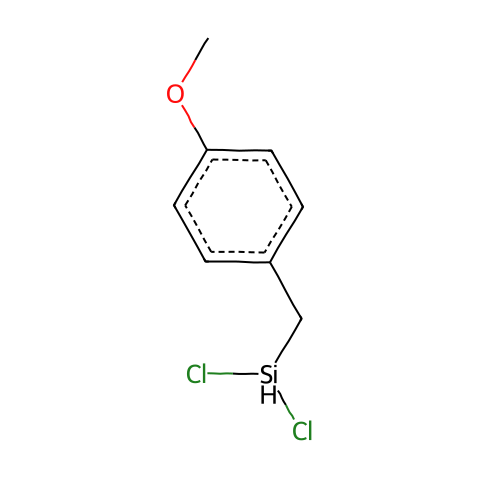 COc1ccc(C[SiH](Cl)Cl)cc1